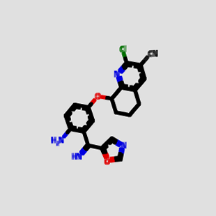 N#Cc1cc2c(nc1Cl)C(Oc1ccc(N)c(C(=N)c3cnco3)c1)CCC2